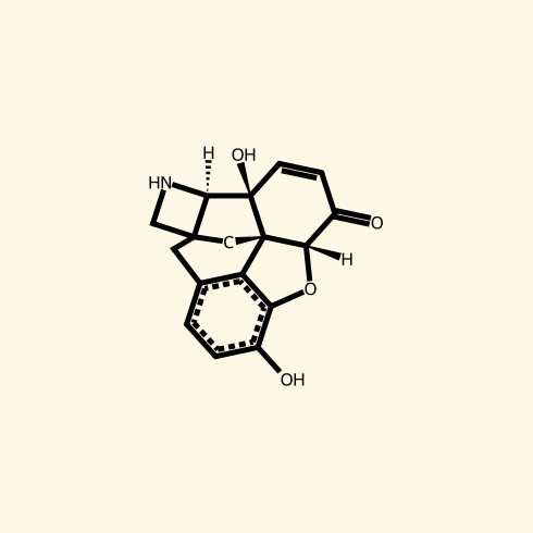 O=C1C=C[C@@]2(O)[C@@H]3NCC34Cc3ccc(O)c5c3[C@@]2(C4)[C@H]1O5